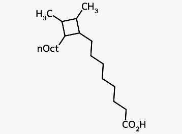 CCCCCCCCC1C(C)C(C)C1CCCCCCCC(=O)O